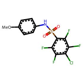 COc1ccc(NS(=O)(=O)c2c(F)c(F)c(Cl)c(F)c2F)cc1